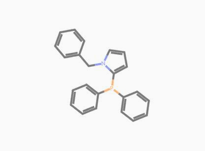 c1ccc(Cn2cccc2P(c2ccccc2)c2ccccc2)cc1